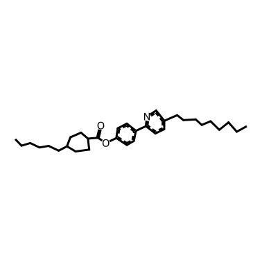 CCCCCCCCCc1ccc(-c2ccc(OC(=O)C3CCC(CCCCCC)CC3)cc2)nc1